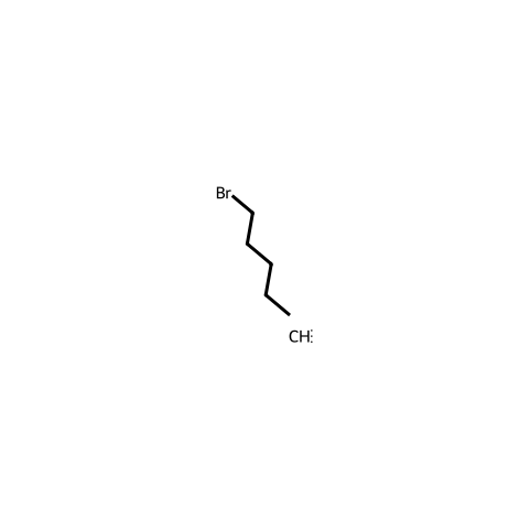 CCCCCBr.[CH]